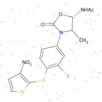 CC(=O)N[C@H]1OC(=O)N(c2ccc(Sc3sccc3[N+](=O)[O-])c(F)c2)C1C